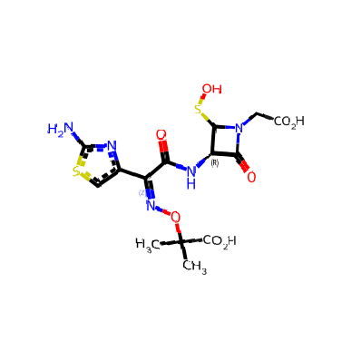 CC(C)(O/N=C(\C(=O)N[C@@H]1C(=O)N(CC(=O)O)C1SO)c1csc(N)n1)C(=O)O